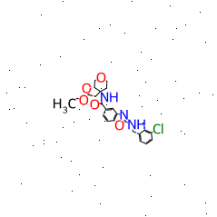 CCOC(=O)CC1(NC(=O)c2ccc3oc(NCc4cccc(Cl)c4)nc3c2)CCOCC1